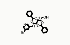 OC[C@H]1OC(c2ccccc2)O[C@@H]2[C@@H]1OC(c1ccccc1)O[C@@H]2Cc1cncc(Br)c1